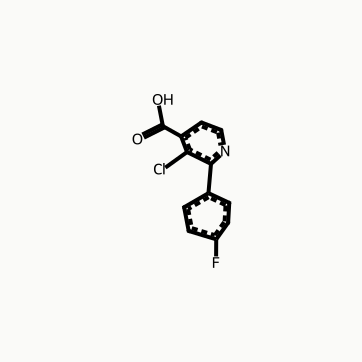 O=C(O)c1ccnc(-c2ccc(F)cc2)c1Cl